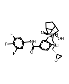 O=C(Nc1cc(F)c(F)c(F)c1)c1ccc(Cl)c(S(=O)(=O)[C@H]2C3CCC2C[C@](O)(COC[C@@H]2CO2)C3)c1